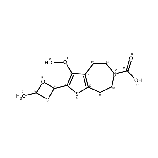 COc1c(C2OC(C)O2)sc2c1CCN(C(=O)O)CC2